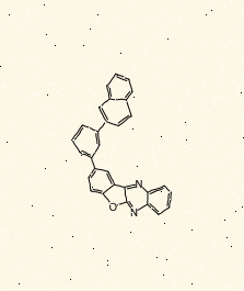 c1cc(-c2ccc3ccccc3c2)cc(-c2ccc3oc4nc5ccccc5nc4c3c2)c1